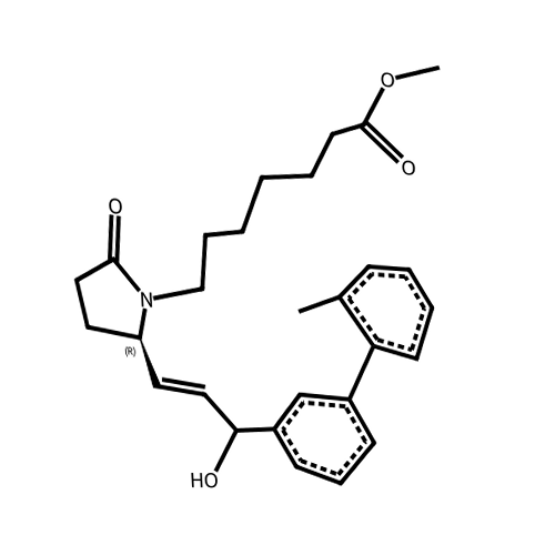 COC(=O)CCCCCCN1C(=O)CC[C@@H]1C=CC(O)c1cccc(-c2ccccc2C)c1